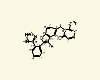 CCCc1nccc(=O)n1Cc1ccc2oc(-c3ccccc3-c3nnn[nH]3)c(Br)c2c1